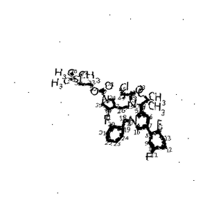 CC(C)(C)[C@H](c1cc(-c2cc(F)ccc2F)cn1Cc1ccccc1)N(CC1CN(C(=O)OCC[Si](C)(C)C)C[C@@H]1F)C(=O)CCl